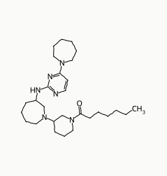 CCCCCCC(=O)N1CCCC(N2CCCCC(Nc3nccc(N4CCCCCC4)n3)C2)C1